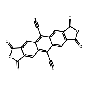 N#Cc1c2cc3c(=O)oc(=O)c3cc2c(C#N)c2cc3c(=O)oc(=O)c3cc12